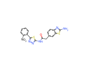 Nc1nc2ccc(CC(=O)Nc3nnc(-c4ccccc4[N+](=O)[O-])s3)cc2s1